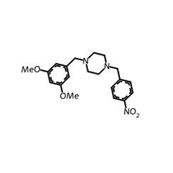 COc1cc(CN2CCN(Cc3ccc([N+](=O)[O-])cc3)CC2)cc(OC)c1